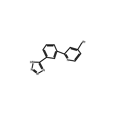 CC(C)c1ccnc(-c2cccc(-c3nnn[nH]3)c2)c1